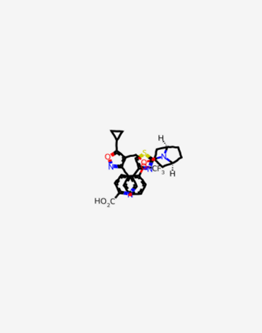 O=C(O)c1ccc(-c2csc(N3[C@@H]4CC[C@H]3CC(OCc3c(-c5ccccc5OC(F)(F)F)noc3C3CC3)C4)n2)cn1